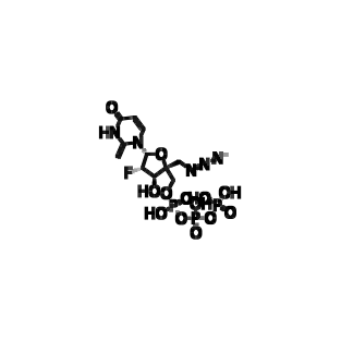 C=C1NC(=O)C=CN1[C@@H]1O[C@](CN=[N+]=[N-])(COP(=O)(O)OP(=O)(O)OP(=O)(O)O)[C@@H](O)[C@@H]1F